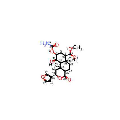 COC(=O)[C@@H]1CC(OC(N)=O)C(=O)C2[C@@]3(C)C[C@@H](c4ccoc4)OC(=O)C3CC[C@]21C